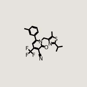 Cc1cccc(-c2cc(C(F)(F)F)c(C#N)c(=O)n2Cc2nc(C(C)C)sc2C)c1